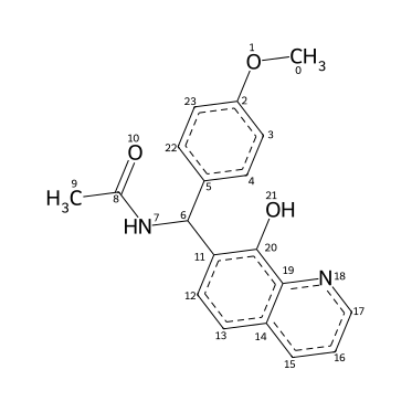 COc1ccc(C(NC(C)=O)c2ccc3cccnc3c2O)cc1